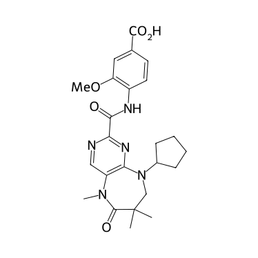 COc1cc(C(=O)O)ccc1NC(=O)c1ncc2c(n1)N(C1CCCC1)CC(C)(C)C(=O)N2C